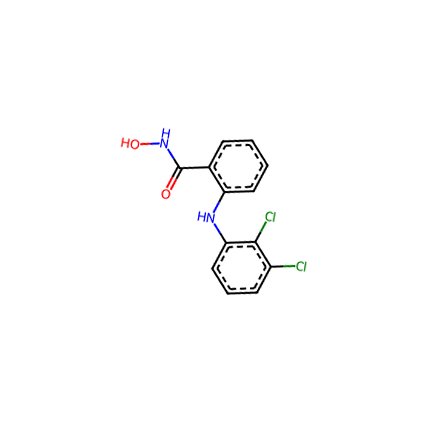 O=C(NO)c1ccccc1Nc1cccc(Cl)c1Cl